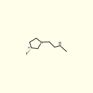 CNCCN1CC[C@@H](F)C1